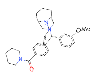 C=CCN1C2CCCC1CN(C(c1ccc(C(=O)N3CCCCC3)cc1)c1cccc(OC)c1)C2